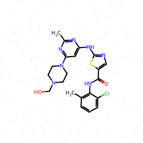 Cc1nc(Nc2ncc(C(=O)Nc3c(C)cccc3Cl)s2)cc(N2CCN(CO)CC2)n1